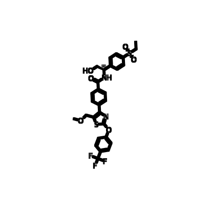 CCS(=O)(=O)c1ccc([C@H](CO)NC(=O)c2ccc(-c3nc(Oc4ccc(C(F)(F)F)cc4)sc3COC)cc2)cc1